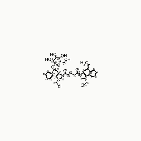 COc1cc2c(c3ccccc13)[C@H](CCl)CN2C(=O)CCCC(=O)N1C[C@@H](CCl)c2c1cc(O[C@@H]1O[C@H](CO)[C@H](O)[C@H](O)[C@H]1O)c1ccccc21